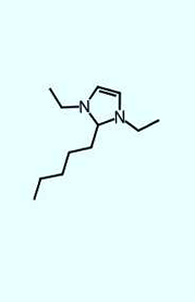 CCCCCC1N(CC)C=CN1CC